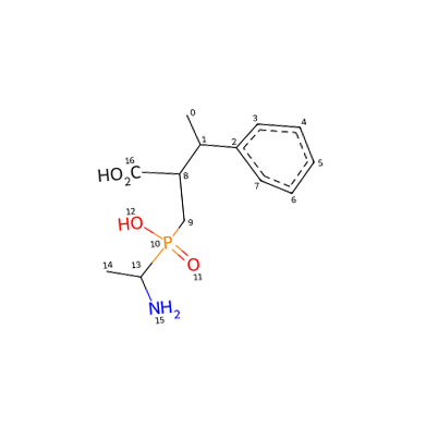 CC(c1ccccc1)C(CP(=O)(O)C(C)N)C(=O)O